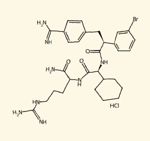 Cl.N=C(N)NCCCC(NC(=O)[C@@H](NC(=O)[C@@H](Cc1ccc(C(=N)N)cc1)c1cccc(Br)c1)C1CCCCC1)C(N)=O